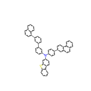 c1cc(-c2cccc(N(c3ccc(-c4ccc5c(ccc6ccccc65)c4)cc3)c3ccc4c(c3)sc3ccccc34)c2)cc(-c2cccc3ccccc23)c1